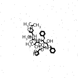 CC(C)[C@H](NC(=O)N(C)CC1=CON(C(C)C)C1)C(=O)N[C@@H](Cc1ccccc1)C[C@H](O)[C@H](Cc1ccccc1)NC(=O)OCc1ccno1